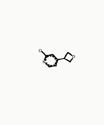 Clc1cc(C2COC2)ccn1